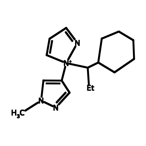 CCC(C1CCCCC1)[N+]1(c2cnn(C)c2)C=CC=N1